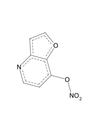 O=[N+]([O-])Oc1ccnc2ccoc12